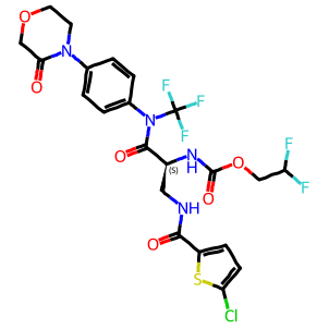 O=C(N[C@@H](CNC(=O)c1ccc(Cl)s1)C(=O)N(c1ccc(N2CCOCC2=O)cc1)C(F)(F)F)OCC(F)F